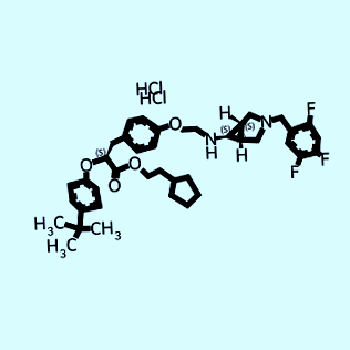 CC(C)(C)c1ccc(O[C@@H](Cc2ccc(OCCN[C@H]3[C@@H]4CN(Cc5cc(F)c(F)cc5F)C[C@@H]43)cc2)C(=O)OCCC2CCCC2)cc1.Cl.Cl